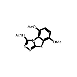 COc1ccc(OC)c2c1sc1nnc(NC(C)=O)n12